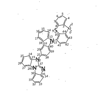 CC1(C)c2ccccc2Sc2c(-n3c4ccccc4c4cc(-n5c6ccccc6n6c7ccccc7nc56)ccc43)cccc21